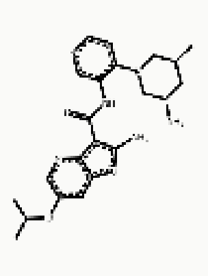 CC(C)Oc1cnc2c(C(=O)Nc3cnccc3N3C[C@@H](C)C[C@@H](N)C3)c(N)oc2c1